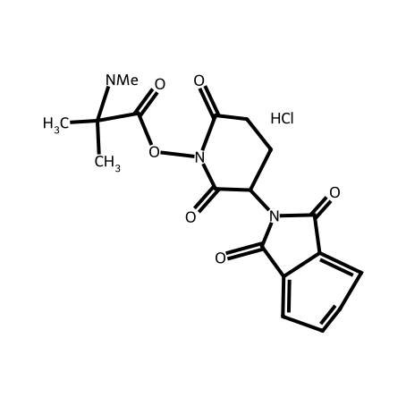 CNC(C)(C)C(=O)ON1C(=O)CCC(N2C(=O)c3ccccc3C2=O)C1=O.Cl